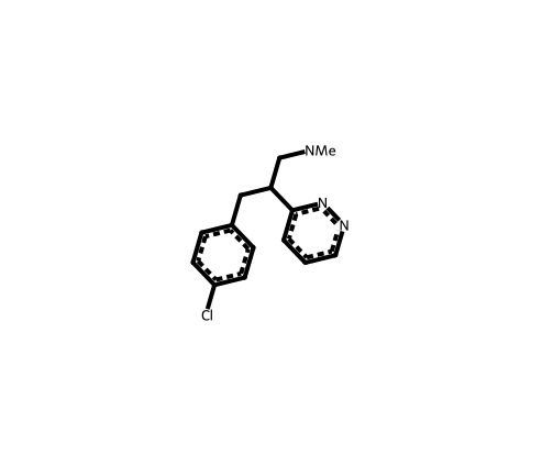 CNCC(Cc1ccc(Cl)cc1)c1cccnn1